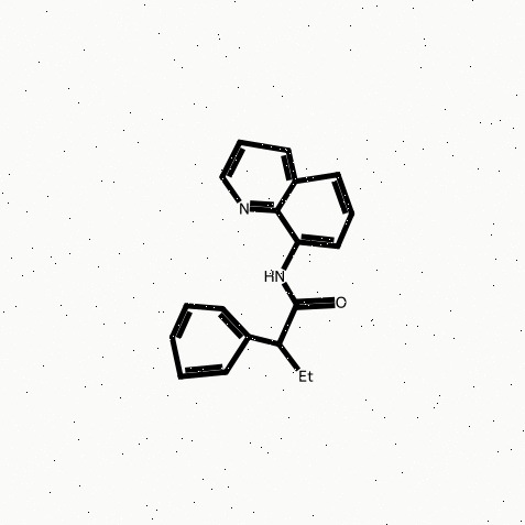 CCC(C(=O)Nc1cccc2cccnc12)c1ccccc1